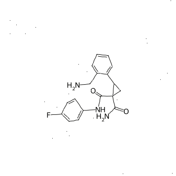 NCc1ccccc1C1CC1(C(N)=O)C(=O)Nc1ccc(F)cc1